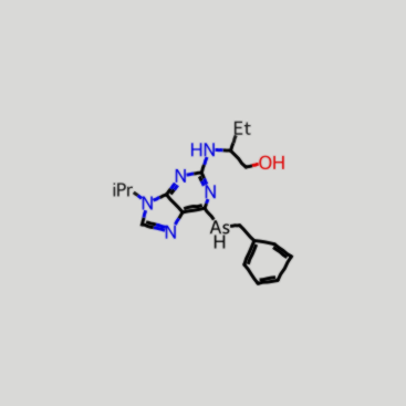 CCC(CO)Nc1nc([AsH]Cc2ccccc2)c2ncn(C(C)C)c2n1